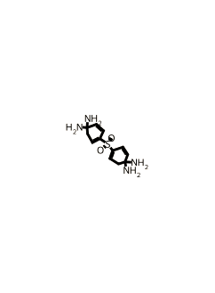 NC1(N)C=CC(S(=O)(=O)C2=CCC(N)(N)C=C2)=CC1